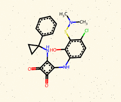 CN(C)Sc1c(Cl)ccc(Nc2c(NC3(c4ccccc4)CC3)c(=O)c2=O)c1O